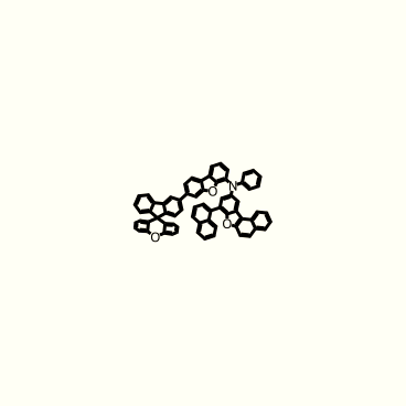 c1ccc(N(c2cc(-c3cccc4ccccc34)c3oc4ccc5ccccc5c4c3c2)c2cccc3c2oc2cc(-c4ccc5c(c4)-c4ccccc4C54c5ccccc5Oc5ccccc54)ccc23)cc1